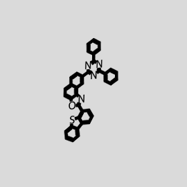 c1ccc(-c2nc(-c3ccccc3)nc(-c3ccc4ccc5oc(-c6cccc7c6sc6ccccc67)nc5c4c3)n2)cc1